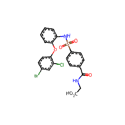 O=C(O)CNC(=O)c1ccc(S(=O)(=O)Nc2ccccc2Oc2ccc(Br)cc2Cl)cc1